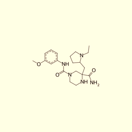 CCN1CCCC1CC1(C(N)=O)CN(C(=O)Nc2cccc(OC)c2)CCN1